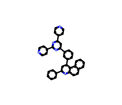 c1ccc(-c2cc(-c3cccc(-c4cc(-c5ccncc5)nc(-c5ccncc5)n4)c3)c3c(ccc4ccccc43)n2)cc1